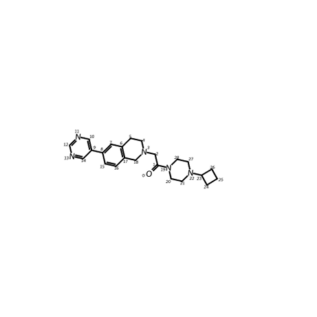 O=C(CN1CCc2cc(-c3cncnc3)ccc2C1)N1CCN(C2CCC2)CC1